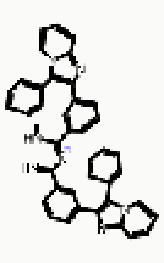 CN/C(=N\C(=N)c1cccc(-c2nc3ccccn3c2-c2ccccc2)c1)c1cccc(-c2nc3ccccn3c2-c2ccccc2)c1